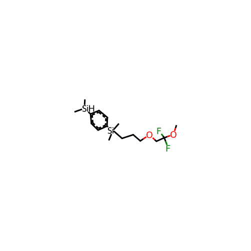 COC(F)(F)COCCC[Si](C)(C)c1ccc([SiH](C)C)cc1